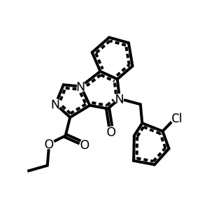 CCOC(=O)c1ncn2c1c(=O)n(Cc1ccccc1Cl)c1ccccc12